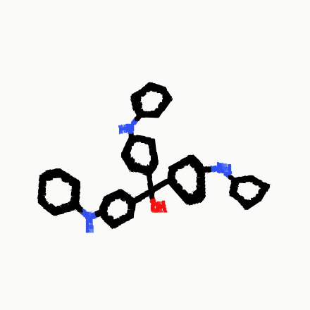 OC(c1ccc(Nc2ccccc2)cc1)(c1ccc(Nc2ccccc2)cc1)c1ccc(Nc2ccccc2)cc1